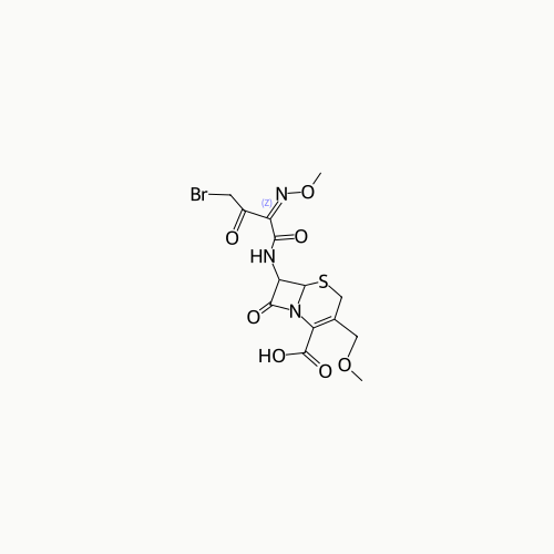 COCC1=C(C(=O)O)N2C(=O)C(NC(=O)/C(=N\OC)C(=O)CBr)C2SC1